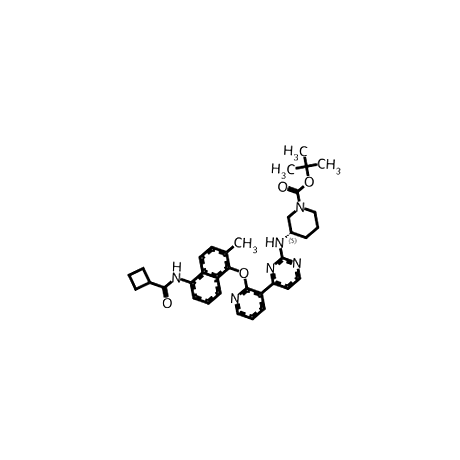 Cc1ccc2c(NC(=O)C3CCC3)cccc2c1Oc1ncccc1-c1ccnc(N[C@H]2CCCN(C(=O)OC(C)(C)C)C2)n1